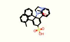 Cc1ccccc1C1=CC(S(=O)(=O)O)C=C(c2ccccc2C)C1(c1ccccc1C)N1CCNC1=O